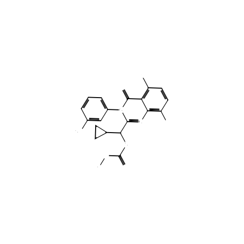 CC(C)(C)OC(=O)NC(c1nc2c(F)ccc(Cl)c2c(=O)n1-c1cccc(C#N)c1)C1CC1